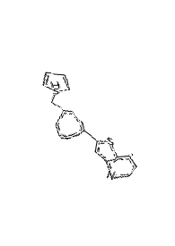 [c]1ccnc2cc(-c3ccc(C[SH]4C=CC=C4)cc3)sc12